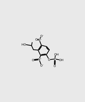 CC(O)Cc1c([N+](=O)[O-])ccc(OP(=O)(O)O)c1[N+](=O)[O-]